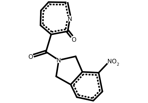 O=C(c1ccccnc1=O)N1Cc2cccc([N+](=O)[O-])c2C1